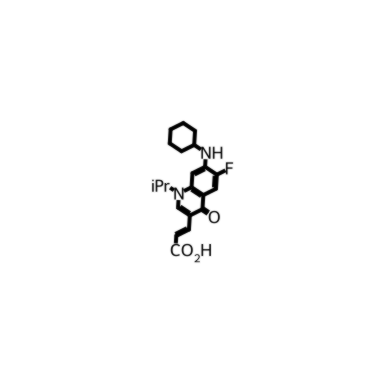 CC(C)n1cc(C=CC(=O)O)c(=O)c2cc(F)c(NC3CCCCC3)cc21